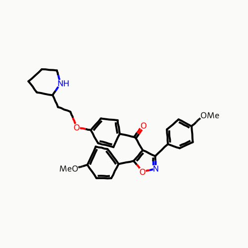 COc1ccc(-c2noc(-c3ccc(OC)cc3)c2C(=O)c2ccc(OCCC3CCCCN3)cc2)cc1